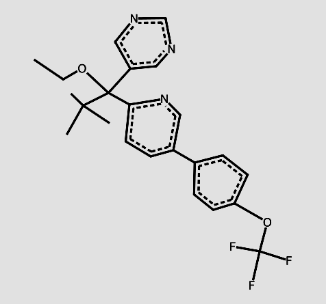 CCOC(c1cncnc1)(c1ccc(-c2ccc(OC(F)(F)F)cc2)cn1)C(C)(C)C